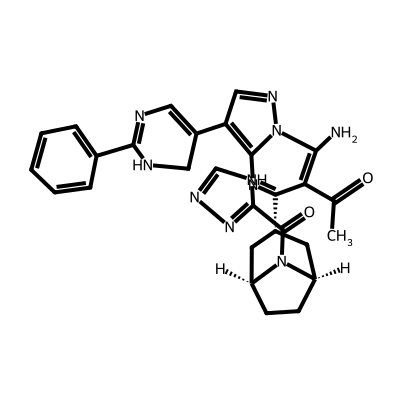 CC(=O)c1c([C@@H]2C[C@H]3CC[C@@H](C2)N3C(=O)c2nnc[nH]2)nc2c(C3=CN=C(c4ccccc4)NC3)cnn2c1N